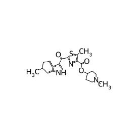 Cc1sc(C(=O)c2c[nH]c3c2=CCC(C)C=3)nc1C(=O)OC1CCN(C)CC1